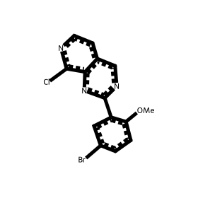 COc1ccc(Br)cc1-c1ncc2ccnc(Cl)c2n1